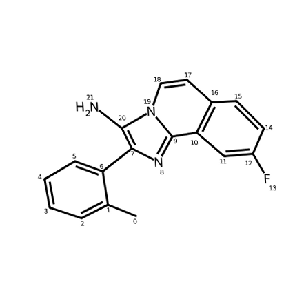 Cc1ccccc1-c1nc2c3cc(F)ccc3ccn2c1N